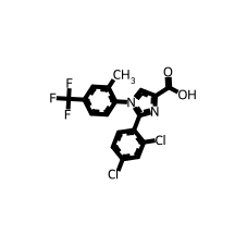 Cc1cc(C(F)(F)F)ccc1-n1cc(C(=O)O)nc1-c1ccc(Cl)cc1Cl